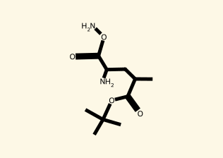 CC(CC(N)C(=O)ON)C(=O)OC(C)(C)C